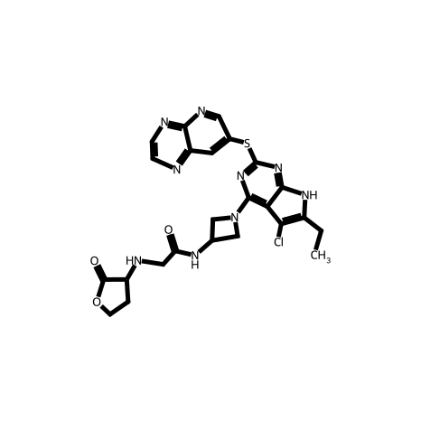 CCc1[nH]c2nc(Sc3cnc4nccnc4c3)nc(N3CC(NC(=O)CNC4CCOC4=O)C3)c2c1Cl